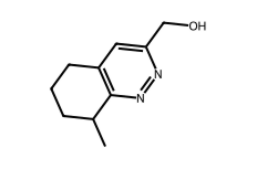 CC1CCCc2cc(CO)nnc21